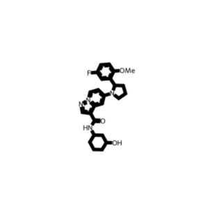 COc1ccc(F)cc1C1CCCN1c1ccn2ncc(C(=O)NC3CCCC(O)C3)c2c1